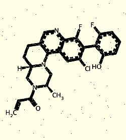 C=CC(=O)N1C[C@@H]2CCc3cnc4c(F)c(-c5c(O)cccc5F)c(Cl)cc4c3N2C[C@H]1C